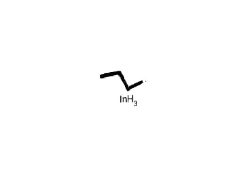 [CH2]CCC.[InH3]